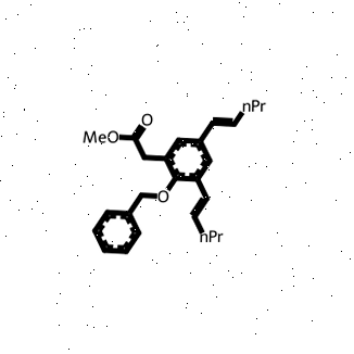 CCCC=Cc1cc(C=CCCC)c(OCc2ccccc2)c(CC(=O)OC)c1